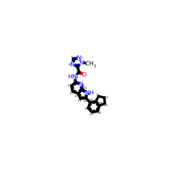 Cn1ncnc1C(=O)Nc1ccc2cc(-c3cccc4c3CCC4)[nH]c2n1